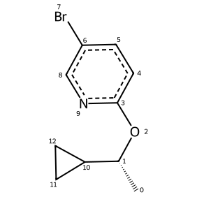 C[C@@H](Oc1ccc(Br)cn1)C1CC1